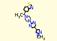 CC(c1ccc2scnc2c1)N1CCN(c2ncc(-c3cnn(C)c3)cn2)CC1